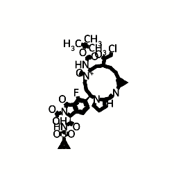 CC(C)(C)OC(=O)N[C@@H]1CC(C(=O)CCl)CCC2=C(C2)/N=C\[C@@H]2CCCN2[C@@H](c2ccc3c(c2F)C(=O)N(C(=O)O)[C@H]3C(=O)NS(=O)(=O)C2CC2)CC[N+]1=O